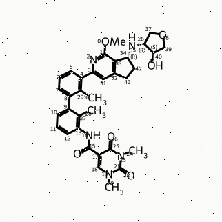 COc1nc(-c2cccc(-c3cccc(NC(=O)c4cn(C)c(=O)n(C)c4=O)c3C)c2C)cc2c1[C@H](N[C@@H]1COC[C@H]1O)CC2